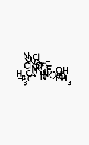 CC1(C)C[C@H]1N(CC(=O)c1c(Cl)cncc1Cl)C(=O)c1cnn([C@H]2CC[C@](C)(C(=O)O)CC2)c1C(F)(F)F